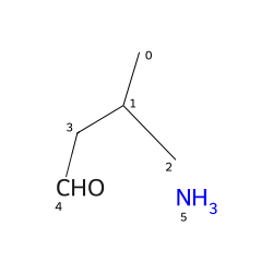 CC(C)CC=O.N